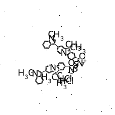 Cl.Cl.Cn1cc(-c2cc[n+]3c(c2)C(C)(C)c2cc(C(=O)[N+]4(SS[N+]5(C(=O)c6ccc7c(c6)C(C)(C)c6cc(-c8cn(C)c9ccccc89)cc[n+]6-7)CC5)CC4)ccc2-3)c2ccccc21